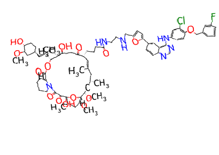 CO[C@H]1C[C@@H](C)C/C(C)=C/[C@@H](CCCC(=O)NCCNCc2ccc(-c3ccc4ncnc(Nc5ccc(OCc6cccc(F)c6)c(Cl)c5)c4c3)o2)C(=O)C[C@H](O)[C@@H](C)[C@@H](/C(C)=C/[C@@H]2CC[C@@H](O)[C@H](OC)C2)OC(=O)[C@@H]2CCCCN2C(=O)C(=O)[C@]2(O)O[C@H]1[C@@H](OC)C[C@H]2C